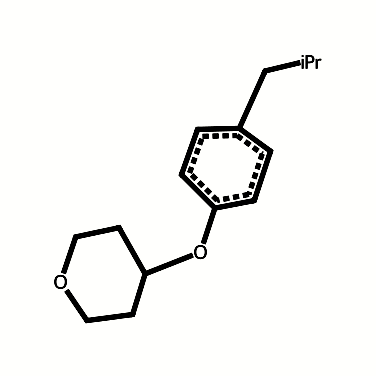 CC(C)Cc1ccc(OC2CCOCC2)cc1